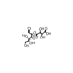 O=C[C@H](OC(=O)C(O)C(O)C(=O)O)[C@@H](O)[C@H](O)[C@H](O)CO